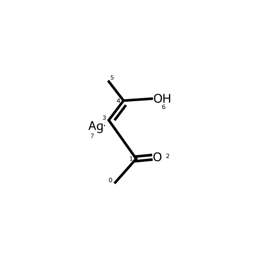 CC(=O)/C=C(/C)O.[Ag]